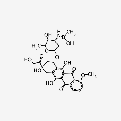 COc1cccc2c1C(=O)c1c(O)c3c(c(O)c1C2=O)C[C@@](O)(C(=O)CO)C[C@@H]3O[C@H]1C[C@H](NB(C)O)[C@H](O)[C@H](C)O1